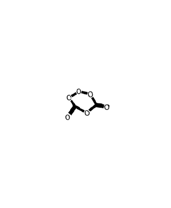 O=C1OOOC(=O)O1